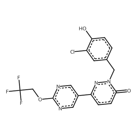 O=c1ccc(-c2cnc(OCC(F)(F)F)nc2)nn1Cc1ccc(O)c(Cl)c1